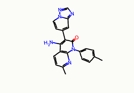 Cc1ccc(-n2c(=O)c(-c3ccn4ncnc4c3)c(N)c3ccc(C)nc32)cc1